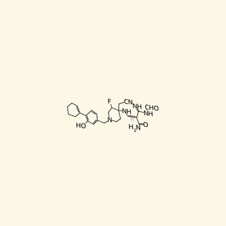 N#CCC1(N/C=C(\C(=N)NC=O)C(N)=O)CCN(Cc2ccc(C3=CCCCC3)c(O)c2)CC1F